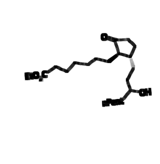 CCCCCC(O)CC[C@H]1CCC(=O)[C@@H]1CCCCCCC(=O)OCC